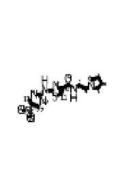 O=C(NCCN1CCCC1)c1csc(Nc2ncc([N+](=O)[O-])cn2)n1